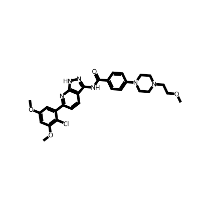 COCCN1CCN(c2ccc(C(=O)Nc3n[nH]c4nc(-c5cc(OC)cc(OC)c5Cl)ccc34)cc2)CC1